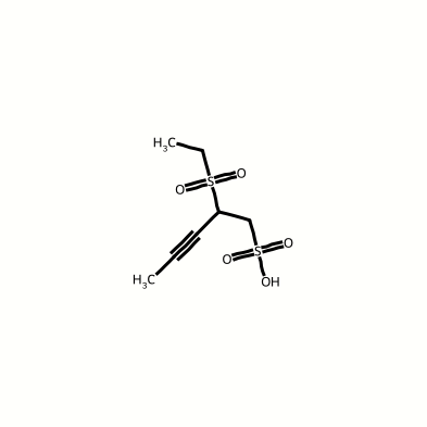 CC#CC(CS(=O)(=O)O)S(=O)(=O)CC